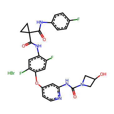 Br.O=C(Nc1cc(Oc2cc(F)c(NC(=O)C3(C(=O)Nc4ccc(F)cc4)CC3)cc2F)ccn1)N1CC(O)C1